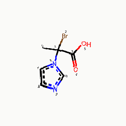 CC(Br)(C(=O)O)n1ccnc1